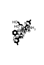 COc1cccc(OC)c1-n1c(NS(=O)(=O)[C@](C)([C@@H](OC[C@H](O)CO)c2ncc(C)cn2)S(N)(=O)=O)nnc1-c1cncc(C)c1